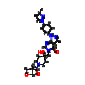 Cc1ccn(-c2ccc(-n3ncc4c(=O)n(CC5(O)CCN(C(=O)C6(C)COC6)CC5)cnc43)cc2)n1